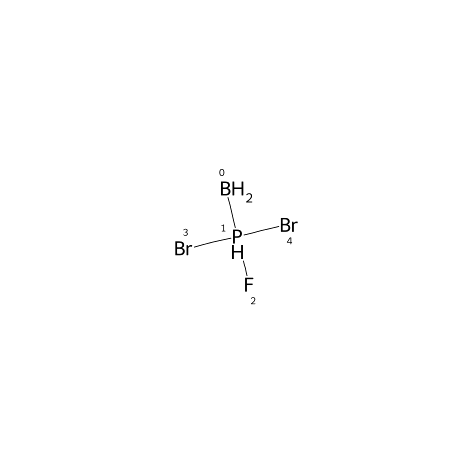 B[PH](F)(Br)Br